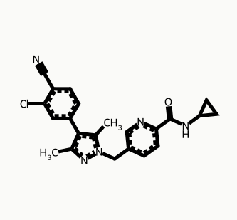 Cc1nn(Cc2ccc(C(=O)NC3CC3)nc2)c(C)c1-c1ccc(C#N)c(Cl)c1